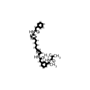 CC(C)C(=O)NC(C)c1cccc(CC(=O)Nc2cc3c(CCCCc4nnc(NC(=O)Cc5ccccc5)s4)n2-3)c1